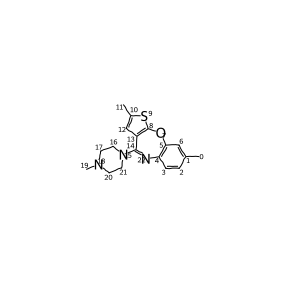 Cc1ccc2c(c1)Oc1sc(C)cc1C(N1CCN(C)CC1)=N2